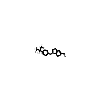 O=Cc1ccc2c(c1)CCN2Cc1ccc(C(O)(C(F)(F)F)C(F)(F)F)cc1